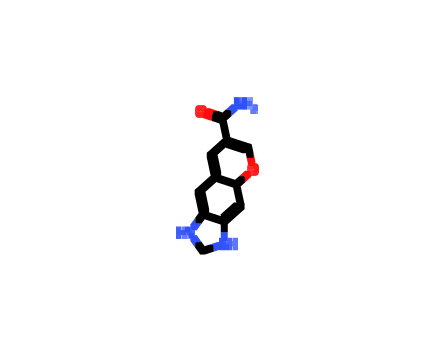 NC(=O)C1=COC2C=C3NCNC3=CC2=C1